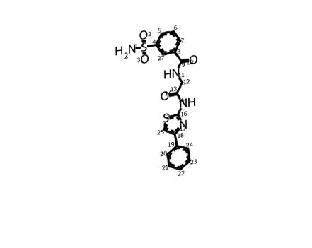 NS(=O)(=O)c1cccc(C(=O)NCC(=O)Nc2nc(-c3ccccc3)cs2)c1